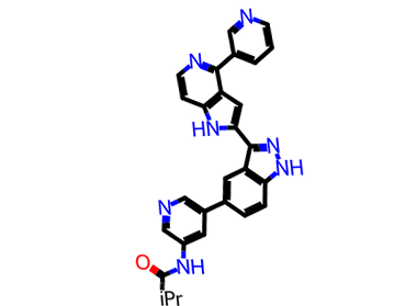 CC(C)C(=O)Nc1cncc(-c2ccc3[nH]nc(-c4cc5c(-c6cccnc6)nccc5[nH]4)c3c2)c1